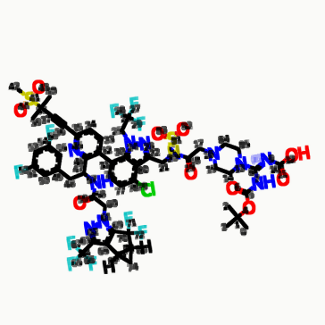 CC(C)(C)OC(=O)N/C(=N\C(=O)O)N1CCN(CC(=O)N(Cc2nn(CC(F)(F)F)c3c(-c4ccc(C#CC(C)(C)S(C)(=O)=O)nc4C(Cc4cc(F)cc(F)c4)NC(=O)Cn4nc(C(F)(F)F)c5c4C(F)(F)[C@@H]4C[C@H]54)ccc(Cl)c23)[SH](=O)=O)CC1